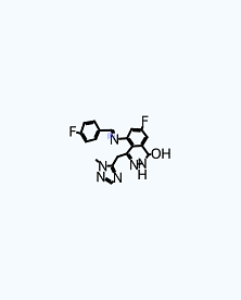 Cn1ncnc1CC1=NNC(O)c2cc(F)cc(/N=C/c3ccc(F)cc3)c21